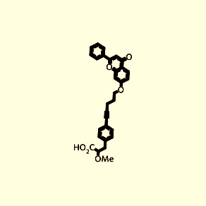 COC(Cc1ccc(C#CCCCOc2ccc3c(=O)cc(-c4ccccc4)oc3c2)cc1)C(=O)O